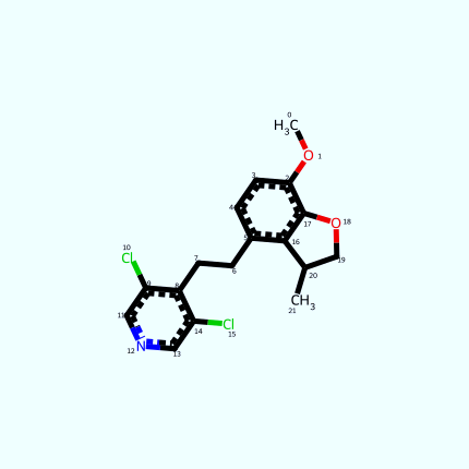 COc1ccc(CCc2c(Cl)cncc2Cl)c2c1OCC2C